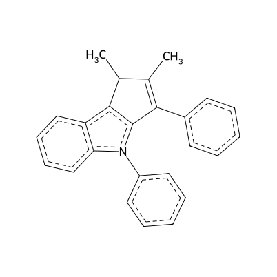 CC1=C(c2ccccc2)c2c(c3ccccc3n2-c2ccccc2)C1C